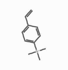 C=Cc1ccc([N+](C)(C)C)cc1